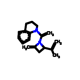 C=C(C)C1CC(=C)N1C(=C)N1CCCc2ccccc21